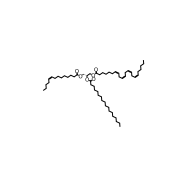 CCCC/C=C\CCCCCCCC(=O)OC[C@H](COC(=O)CCCCC/C=C\C/C=C\C/C=C\C/C=C\CCCCC)OC(=O)CCCCCCCCCCCCCCCCC